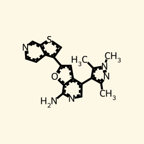 Cc1nn(C)c(C)c1-c1cnc(N)c2oc(-c3csc4cnccc34)cc12